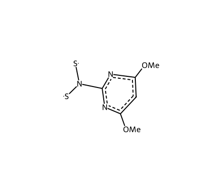 COc1cc(OC)nc(N([S])[S])n1